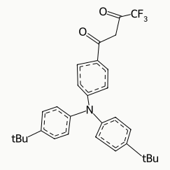 CC(C)(C)c1ccc(N(c2ccc(C(=O)CC(=O)C(F)(F)F)cc2)c2ccc(C(C)(C)C)cc2)cc1